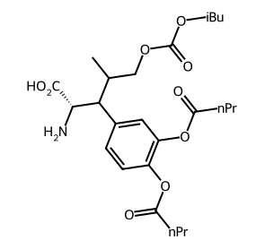 CCCC(=O)Oc1ccc(C(C(C)COC(=O)OC(C)CC)[C@H](N)C(=O)O)cc1OC(=O)CCC